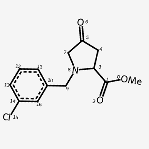 COC(=O)C1CC(=O)CN1Cc1cccc(Cl)c1